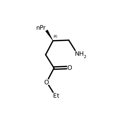 CCC[C@@H](CN)CC(=O)OCC